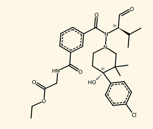 CCOC(=O)CNC(=O)c1cccc(C(=O)N([C@@H](C=O)C(C)C)N2CC[C@](O)(c3ccc(Cl)cc3)C(C)(C)C2)c1